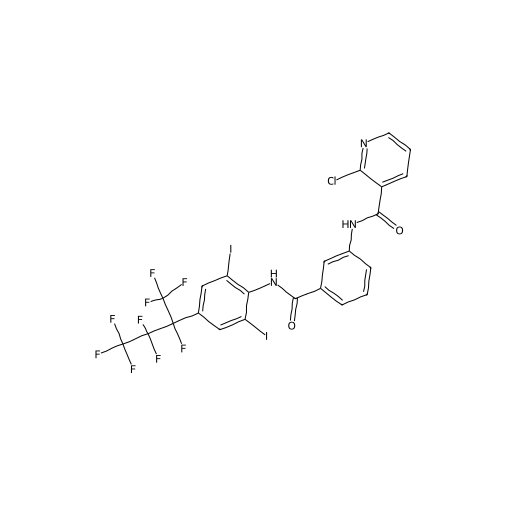 O=C(Nc1c(I)cc(C(F)(C(F)(F)F)C(F)(F)C(F)(F)F)cc1I)c1cccc(NC(=O)c2cccnc2Cl)c1